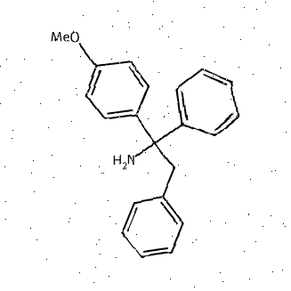 COc1ccc(C(N)(Cc2ccccc2)c2ccccc2)cc1